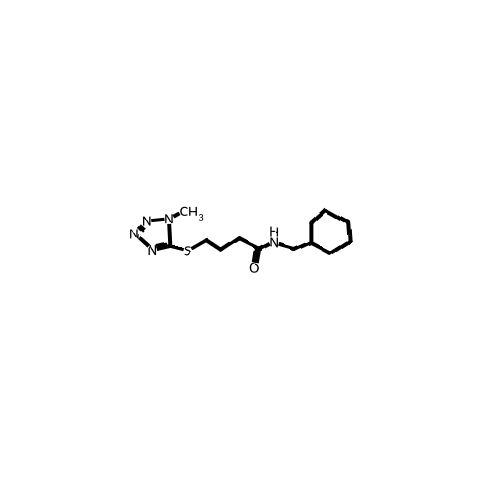 Cn1nnnc1SCCCC(=O)NCC1CCCCC1